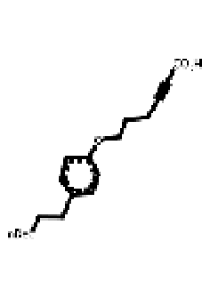 CCCCCCCCCCCCc1ccc(OCCCC#CC(=O)O)cc1